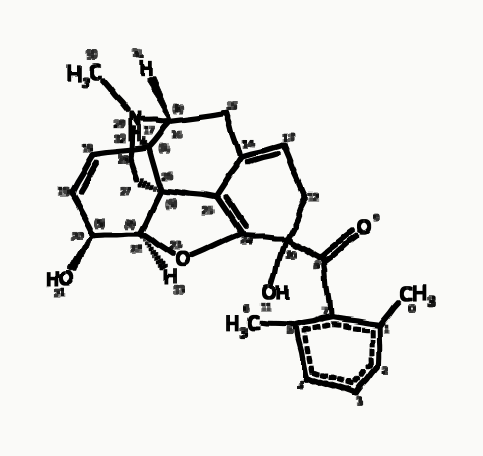 Cc1cccc(C)c1C(=O)C1(O)CC=C2C[C@@H]3[C@@H]4C=C[C@H](O)[C@@H]5OC1=C2[C@]45CCN3C